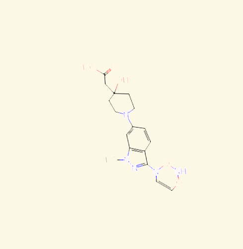 Cn1nc(-n2cco[nH]o2)c2ccc(N3CCC(O)(CC(=O)O)CC3)cc21